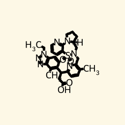 CCn1nnc2c(C)c(C(CC(=O)O)c3ccc(C)c(CN4C[C@H]5CCCN5c5ncccc5S4(=O)=O)n3)ccc21